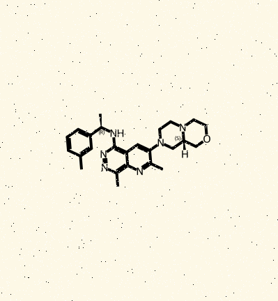 Cc1cccc([C@@H](C)Nc2nnc(C)c3nc(C)c(N4CCN5CCOC[C@@H]5C4)cc23)c1